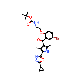 Cc1[nH]c(-c2nnc(C3CC3)o2)c(C)c1C(=O)c1cc(Br)ccc1OCCNC(=O)OC(C)(C)C